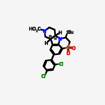 CC(C)(C)C1CS(=O)(=O)c2cc(-c3ccc(Cl)cc3Cl)cc3c2N1[C@H]1CCN(C(=O)O)C[C@@H]31